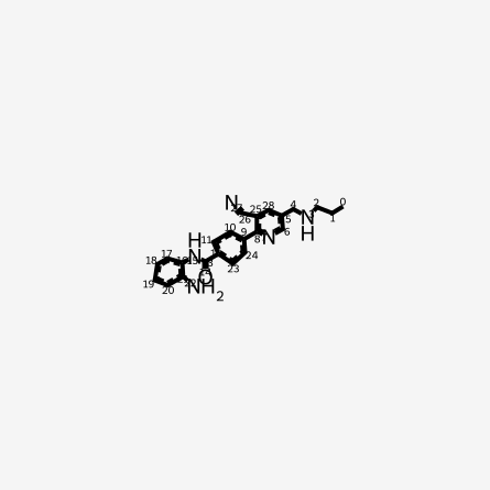 CCCNCc1cnc(-c2ccc(C(=O)Nc3ccccc3N)cc2)c(C#N)c1